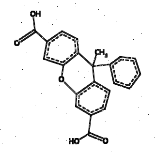 CC1(c2ccccc2)c2ccc(C(=O)O)cc2Oc2cc(C(=O)O)ccc21